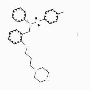 Cl.Cl.O=S(=O)(c1ccc(Cl)cc1)N(Cc1ccccc1OCCCN1CCNCC1)c1ccccc1